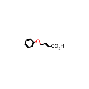 O=C(O)/C=C/COc1ccccc1